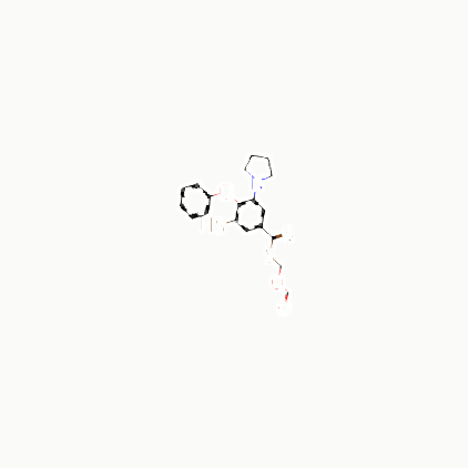 O=COCSC(=S)c1cc(S)c(Oc2ccccc2)c(N2CCCC2)c1